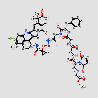 CC[C@@]1(O)C(=O)OCc2c1cc1n(c2=O)Cc2c-1nc1cc(F)c(C)c3c1c2[C@@H](NC(=O)C1(OCNC(=O)CNC(=O)[C@H](Cc2ccccc2)NC(=O)CNC(=O)CNC(=O)[C@H](CNCC(=O)OC(C)(C)C)N2C(=O)C=CC2=O)CC1)CC3